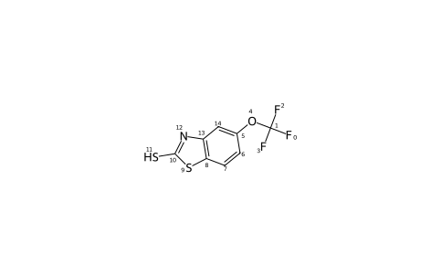 FC(F)(F)Oc1ccc2sc(S)nc2c1